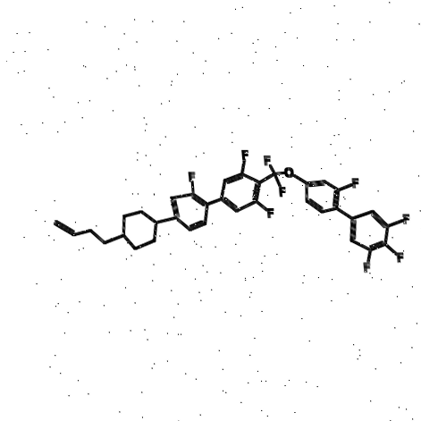 C=CCCC1CCC(c2ccc(-c3cc(F)c(C(F)(F)Oc4ccc(-c5cc(F)c(F)c(F)c5)c(F)c4)c(F)c3)c(F)c2)CC1